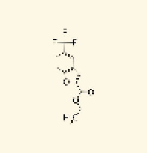 CCOC(=O)c1cc2cc(C(F)(F)F)ccc2o1